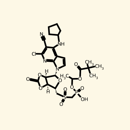 CC(OC(=O)C(C)(C)C)OP(=O)(O)CS(=O)(=O)C[C@H]1O[C@@H](n2ccc3c(NC4CCCC4)c(C#N)c(Cl)nc32)[C@@H]2OC(=O)O[C@@H]21